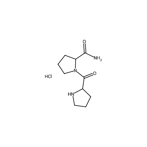 Cl.NC(=O)C1CCCN1C(=O)C1CCCN1